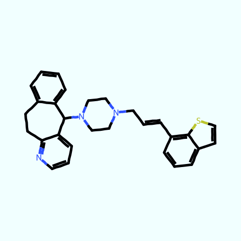 C(=Cc1cccc2ccsc12)CN1CCN(C2c3ccccc3CCc3ncccc32)CC1